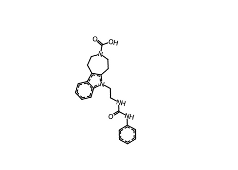 O=C(NCCn1c2c(c3ccccc31)CCN(C(=O)O)CC2)Nc1ccccc1